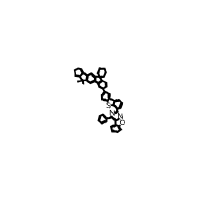 CC1(C)C2=CCCC=C2c2cc3c(cc21)-c1cc(-c2ccc4sc5c(-c6nc(-c7ccccc7)c7c(n6)oc6ccccc67)cccc5c4c2)ccc1C31CCCCC1